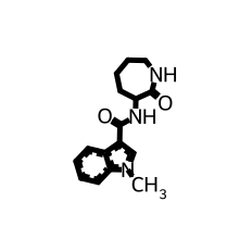 Cn1cc(C(=O)NC2CCCCNC2=O)c2ccccc21